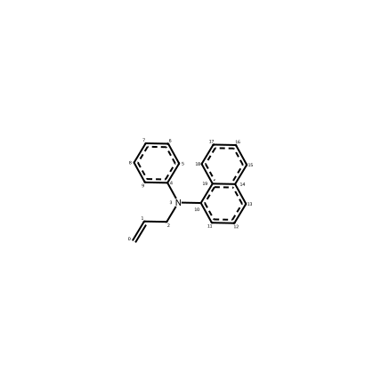 C=CCN(c1ccccc1)c1cccc2ccccc12